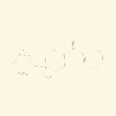 COC1C=C(C(=O)c2ccccc2)C=CC1(OC)c1ccccc1